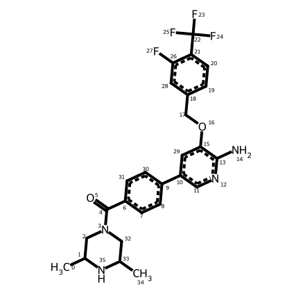 CC1CN(C(=O)c2ccc(-c3cnc(N)c(OCc4ccc(C(F)(F)F)c(F)c4)c3)cc2)CC(C)N1